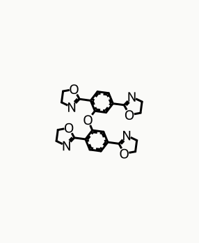 c1cc(C2=NCCO2)c(Oc2cc(C3=NCCO3)ccc2C2=NCCO2)cc1C1=NCCO1